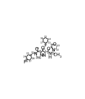 CC(NC(=O)c1nn2c(c1OCc1ccccc1)C(=O)N(Cc1ccc(F)cc1)CC2)N1CCOCC1